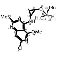 COc1nc(Cl)cc2nc(SC)nc(N[C@@H]3C[C@H]3O[Si](C)(C)C(C)(C)C)c12